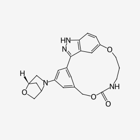 O=C1NCCCOc2ccc3[nH]nc(c3c2)-c2cc(cc(N3C[C@@H]4CC3CO4)c2)CO1